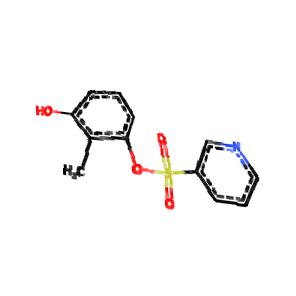 Cc1c(O)cccc1OS(=O)(=O)c1cccnc1